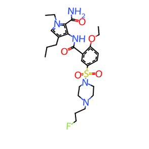 CCCc1cn(CC)c(C(N)=O)c1NC(=O)c1cc(S(=O)(=O)N2CCN(CCCF)CC2)ccc1OCC